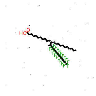 CCCCCCCCCCC[C](CCCCCCCCCCC(=O)O)C(C)C(F)(F)C(F)(F)C(F)(F)C(F)(F)C(F)(F)C(F)(F)C(F)(F)C(F)(F)C(F)(F)F